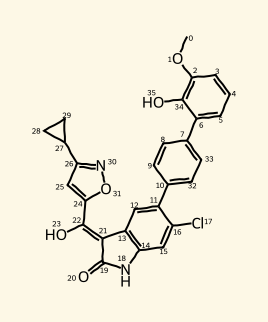 COc1cccc(-c2ccc(-c3cc4c(cc3Cl)NC(=O)/C4=C(\O)c3cc(C4CC4)no3)cc2)c1O